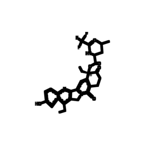 CCc1c2c(nc3ccc(O)cc13)-c1cc3c(c(=O)n1C2)CCC(=O)[C@@]3(CC)OC(=O)C(CC(C)C)NC(=O)C(F)(F)F